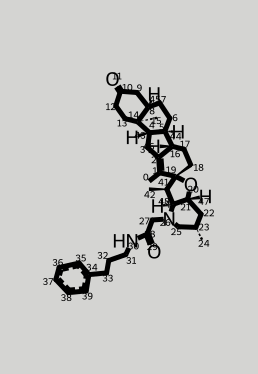 CC1=C2C[C@H]3[C@@H](CC[C@@H]4CC(=O)CC[C@@]43C)[C@@H]2CC[C@]12O[C@@H]1C[C@H](C)CN(CC(=O)NCCCc3ccccc3)[C@H]1[C@H]2C